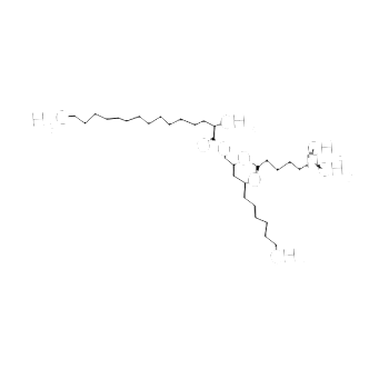 CCCCCCCCCCCCCCC(C)C(=O)OCC(CCCCCCCCC)OC(=O)CCCCN(C)C